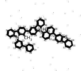 CC1c2c(c3ccccc3n2-c2cccc(-c3ccccc3)c2)C=CC1c1ccc2c(c1)C1=CC=CCC1N2C1=CC=CC2C(c3ccc4c5c(sc4c3)CCC=C5)=CC=C[C@H]12